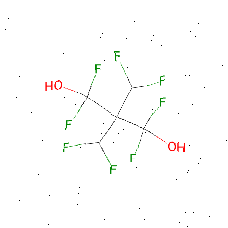 OC(F)(F)C(C(F)F)(C(F)F)C(O)(F)F